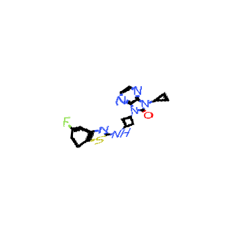 O=c1n(C2CC2)c2nccnc2n1[C@H]1C[C@H](Nc2nc3cc(F)ccc3s2)C1